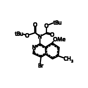 COc1cc(C)cc2c(Br)cnc(N(C(=O)OC(C)(C)C)C(=O)OC(C)(C)C)c12